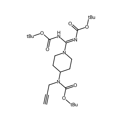 C#CCN(C(=O)OC(C)(C)C)C1CCN(/C(=N/C(=O)OC(C)(C)C)NC(=O)OC(C)(C)C)CC1